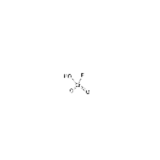 [O]=[Cr](=[O])([OH])[F]